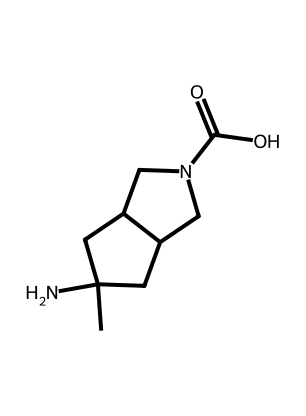 CC1(N)CC2CN(C(=O)O)CC2C1